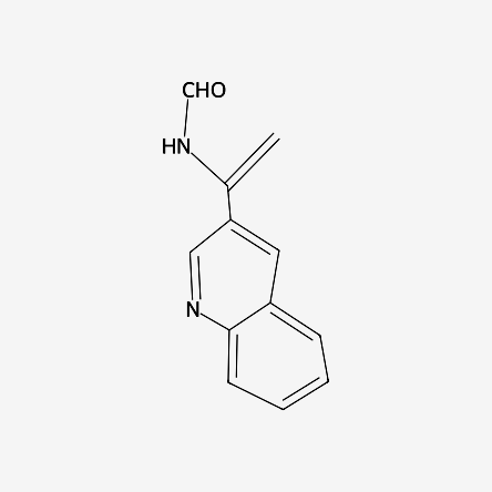 C=C(NC=O)c1cnc2ccccc2c1